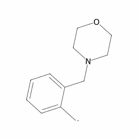 [CH2]c1ccccc1CN1CCOCC1